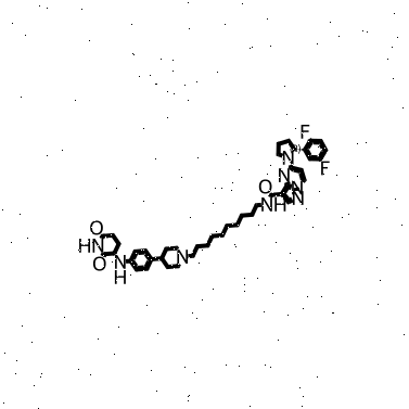 O=C1CCC(Nc2ccc(C3CCN(CCCCCCCCCCNC(=O)c4cnn5ccc(N6CCC[C@@H]6c6cc(F)ccc6F)nc45)CC3)cc2)C(=O)N1